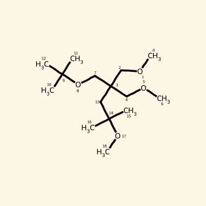 COCC(COC)(COC(C)(C)C)CC(C)(C)OC